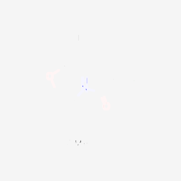 COc1ccc(OCCC(F)(F)F)c(NC(=O)CCl)c1